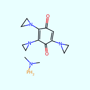 CN(C)P.O=C1C=C(N2CC2)C(=O)C(N2CC2)=C1N1CC1